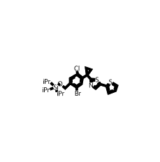 CC(C)[Si](OCc1cc(Cl)c(C2(c3ncc(-c4cccs4)s3)CC2)cc1Br)(C(C)C)C(C)C